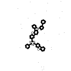 C1=CC2c3cc(-c4nc(-c5ccccc5)nc(-c5ccc6c(c5)oc5ccccc56)n4)ccc3OC2c2c1n(-c1cccc(-c3ccccc3)c1)c1ccccc21